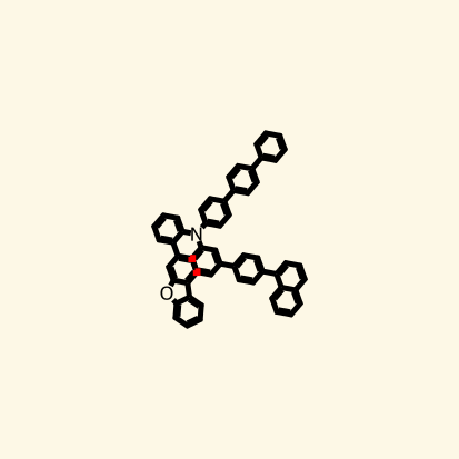 c1ccc(-c2ccc(-c3ccc(N(c4cccc(-c5ccc(-c6cccc7ccccc67)cc5)c4)c4ccccc4-c4ccc5c(c4)oc4ccccc45)cc3)cc2)cc1